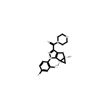 O=C(c1nn(-c2ccc(F)cc2F)c2c1C[C@H]1C[C@@H]21)N1CCOCC1